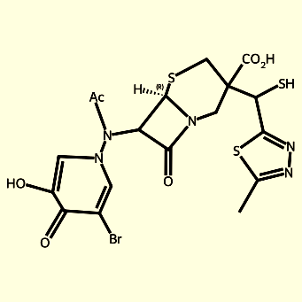 CC(=O)N(C1C(=O)N2CC(C(=O)O)(C(S)c3nnc(C)s3)CS[C@H]12)n1cc(O)c(=O)c(Br)c1